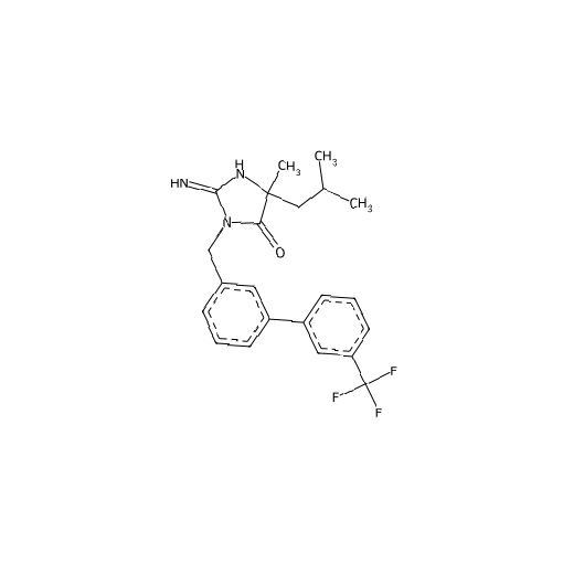 CC(C)CC1(C)NC(=N)N(Cc2cccc(-c3cccc(C(F)(F)F)c3)c2)C1=O